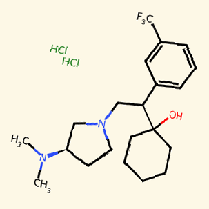 CN(C)[C@@H]1CCN(CC(c2cccc(C(F)(F)F)c2)C2(O)CCCCC2)C1.Cl.Cl